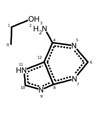 CCO.Nc1ncnc2nc[nH]c12